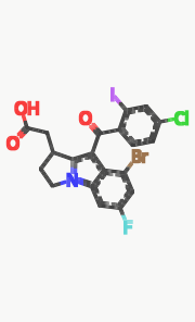 O=C(O)CC1CCn2c1c(C(=O)c1ccc(Cl)cc1I)c1c(Br)cc(F)cc12